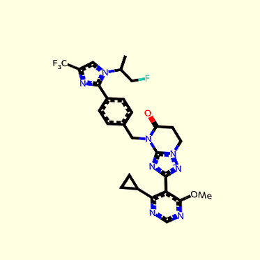 COc1ncnc(C2CC2)c1-c1nc2n(n1)CCC(=O)N2Cc1ccc(-c2nc(C(F)(F)F)cn2C(C)CF)cc1